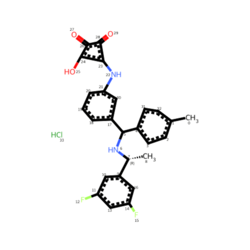 Cc1ccc(C(N[C@H](C)c2cc(F)cc(F)c2)c2cccc(Nc3c(O)c(=O)c3=O)c2)cc1.Cl